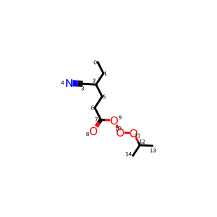 CCC(C#N)CCC(=O)OOOC(C)C